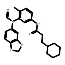 Cc1ccc(NC(=O)CCC2CCCCC2)cc1N(C=O)c1ccc2c(c1)OCO2